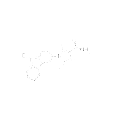 CCn1c2ccccc2c2cc(N3C(C)=C(C(N)=O)SC3C)ccc21